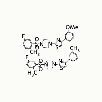 COc1cccc(-c2csc(N3CCN(S(=O)(=O)c4cc(F)ccc4C)CC3)n2)c1.Cc1cccc(-c2csc(N3CCN(S(=O)(=O)c4cc(F)ccc4C)CC3)n2)c1